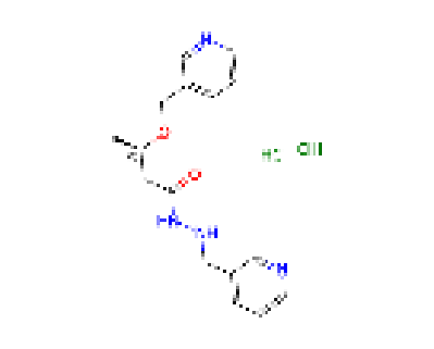 C[C@H](CC(=O)NNCc1cccnc1)OCc1cccnc1.Cl.Cl